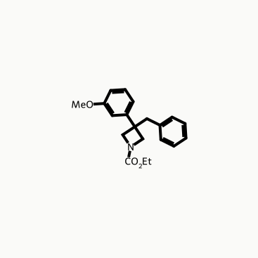 CCOC(=O)N1CC(Cc2ccccc2)(c2cccc(OC)c2)C1